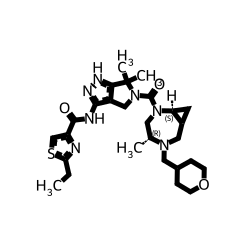 CCc1nc(C(=O)Nc2n[nH]c3c2CN(C(=O)N2C[C@@H](C)N(CC4CCOCC4)CC4C[C@@H]42)C3(C)C)cs1